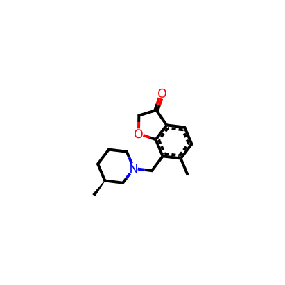 Cc1ccc2c(c1CN1CCC[C@H](C)C1)OCC2=O